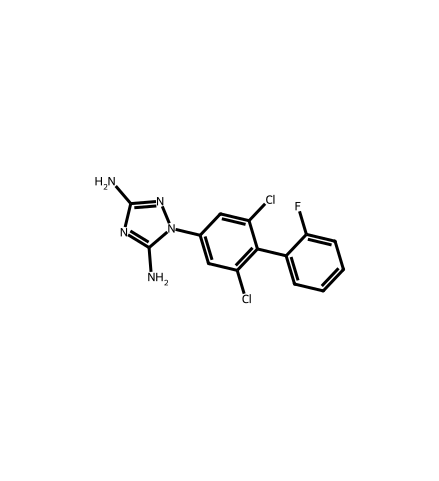 Nc1nc(N)n(-c2cc(Cl)c(-c3ccccc3F)c(Cl)c2)n1